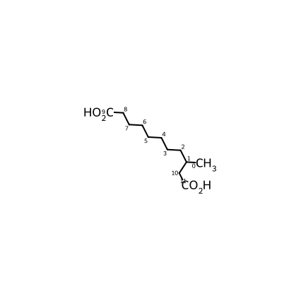 CC(CCCCCCCC(=O)O)CC(=O)O